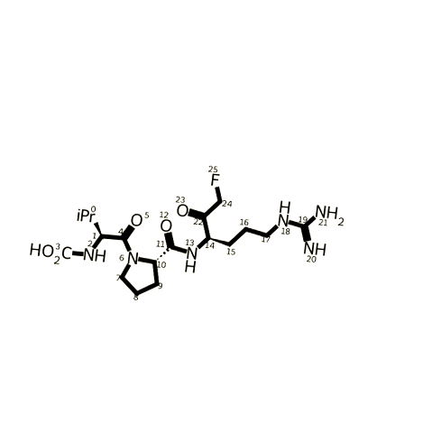 CC(C)[C@H](NC(=O)O)C(=O)N1CCC[C@H]1C(=O)N[C@H](CCCNC(=N)N)C(=O)CF